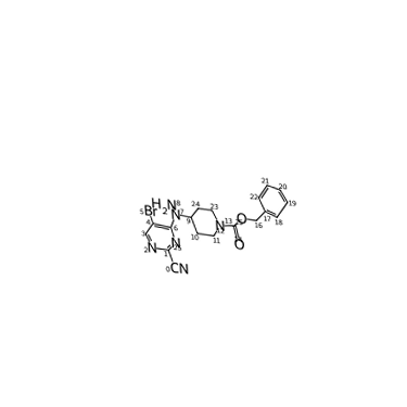 N#Cc1ncc(Br)c(N(N)C2CCN(C(=O)OCc3ccccc3)CC2)n1